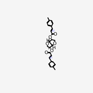 Cc1ccc(/C=C/C(=O)OC2CO[C@H]3[C@@H]2OC[C@H]3OC(=O)/C=C/c2ccc(C)cc2)cc1